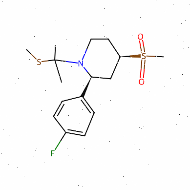 CSC(C)(C)N1CC[C@@H](S(C)(=O)=O)C[C@H]1c1ccc(F)cc1